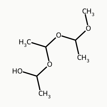 COC(C)OC(C)OC(C)O